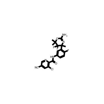 CC1(C)OC(N)=NC(C)(c2cc(NC(=O)c3ncc(C#N)cc3Cl)ccc2F)C1(F)F